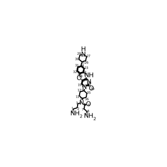 NCCCN(C(=O)CCN)C1CCC(n2cc3c(nc2=O)Nc2cc(C4CCNCC4)ccc2O3)CC1